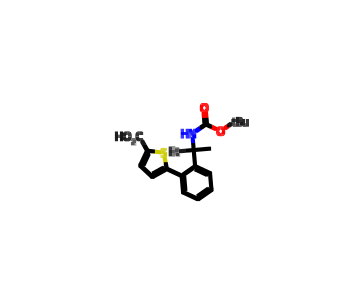 CCC(C)(NC(=O)OC(C)(C)C)c1ccccc1-c1ccc(C(=O)O)s1